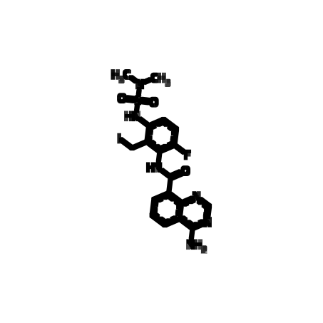 CN(C)S(=O)(=O)Nc1ccc(F)c(NC(=O)c2cccc3c(N)ncnc23)c1CI